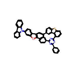 c1ccc(-c2nc(-c3ccccc3)nc(-c3cccc4sc5ccc(-c6ccc7oc8cc(-n9c%10ccccc%10c%10ccccc%109)ccc8c7c6)cc5c34)n2)cc1